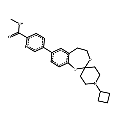 CNC(=O)c1ccc(-c2ccc3c(c2)CCOC2(CCN(C4CCC4)CC2)O3)cn1